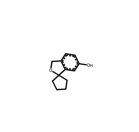 Oc1ccc2c(c1)C1(CCCC1)OC2